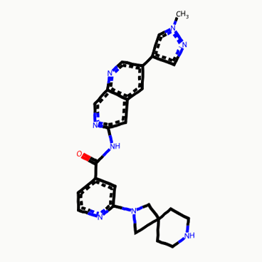 Cn1cc(-c2cnc3cnc(NC(=O)c4ccnc(N5CC6(CCNCC6)C5)c4)cc3c2)cn1